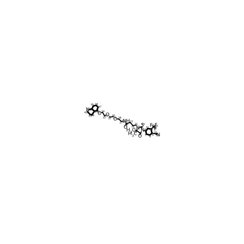 CC1(C)C(=O)N(c2ccc(C#N)c(C(F)(F)F)c2)C(=S)N1CCCC(=O)NCCOCCOCCOc1cccc2ncccc12